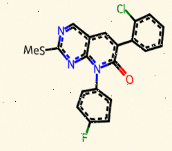 CSc1ncc2cc(-c3ccccc3Cl)c(=O)n(-c3ccc(F)cc3)c2n1